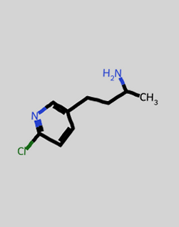 CC(N)CCc1ccc(Cl)nc1